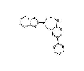 c1ccc(-c2ccc3c(c2)CN(c2nc4ccccc4s2)CCN3)cc1